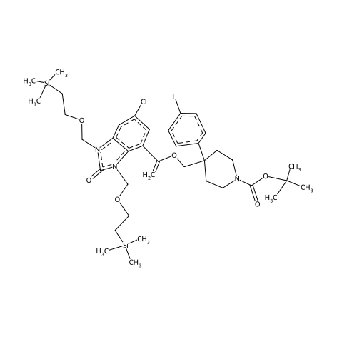 C=C(OCC1(c2ccc(F)cc2)CCN(C(=O)OC(C)(C)C)CC1)c1cc(Cl)cc2c1n(COCC[Si](C)(C)C)c(=O)n2COCC[Si](C)(C)C